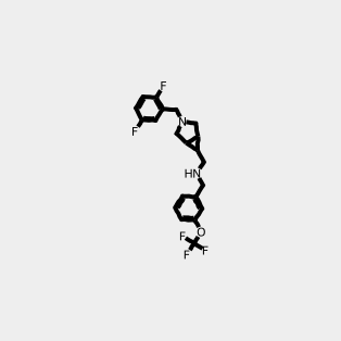 Fc1ccc(F)c(CN2CC3C(CNCc4cccc(OC(F)(F)F)c4)C3C2)c1